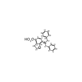 O=C(O)c1ccc(N(Cc2ccccc2)Cc2ccccc2)c2c1CCO2